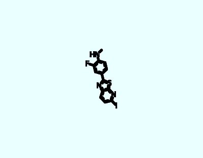 CNc1ccc(-c2nc3ccc(I)nc3s2)cc1F